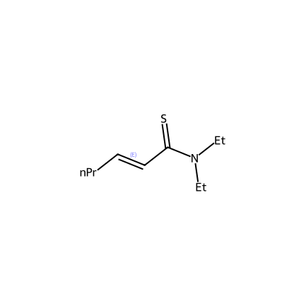 CCC/C=C/C(=S)N(CC)CC